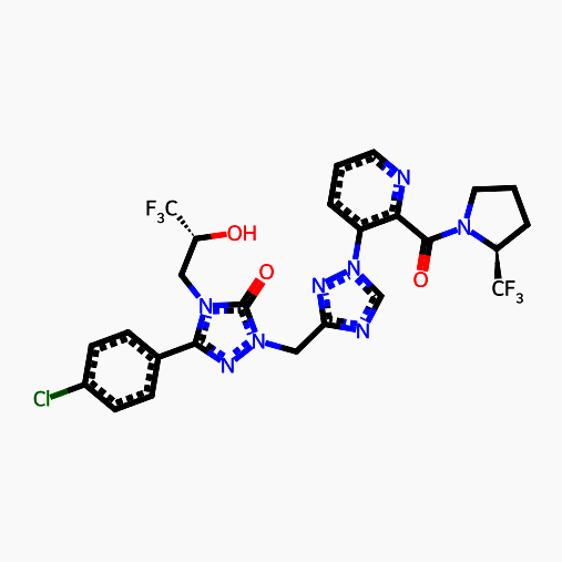 O=C(c1ncccc1-n1cnc(Cn2nc(-c3ccc(Cl)cc3)n(C[C@@H](O)C(F)(F)F)c2=O)n1)N1CCC[C@H]1C(F)(F)F